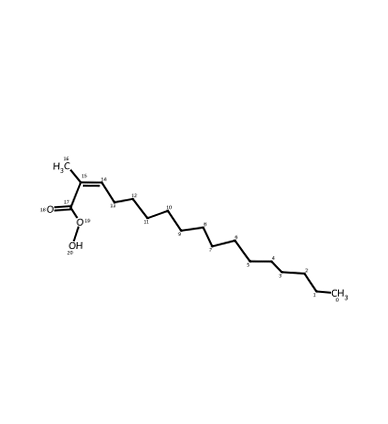 CCCCCCCCCCCCCCC=C(C)C(=O)OO